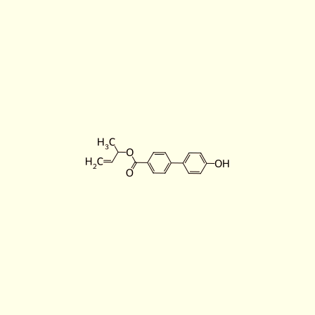 C=CC(C)OC(=O)c1ccc(-c2ccc(O)cc2)cc1